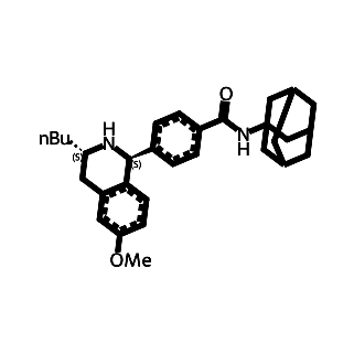 CCCC[C@H]1Cc2cc(OC)ccc2[C@H](c2ccc(C(=O)NC34CC5CC(CC(C5)C3)C4)cc2)N1